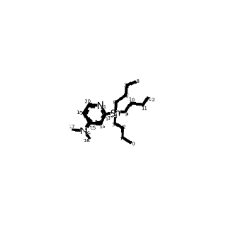 CCC[CH2][Sn]([CH2]CCC)([CH2]CCC)[c]1cc(N(C)C)ccn1